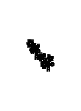 O=C(Nc1ccc(Oc2ccnc3[nH]c(=O)n(C4CCCC4)c23)c(F)c1)c1ncn(-c2ccccc2)c1C(F)(F)F